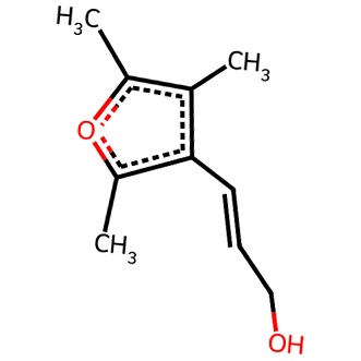 Cc1oc(C)c(C=CCO)c1C